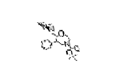 CC(C)(C)OC(=O)N1CCO[C@H](CN=[N+]=[N-])C(c2ccccc2)C1